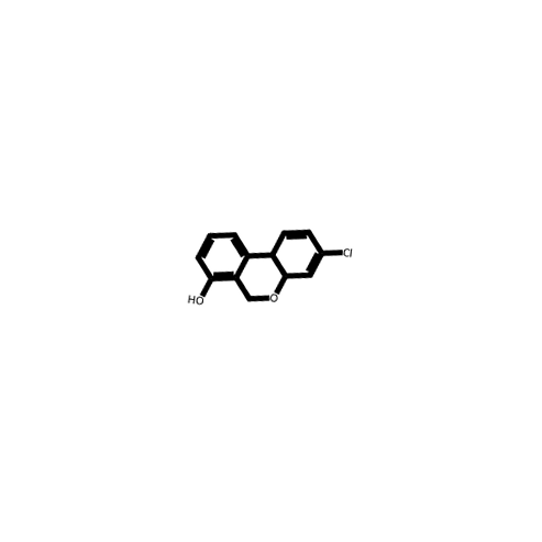 Oc1cccc2c1COC1C=C(Cl)C=CC21